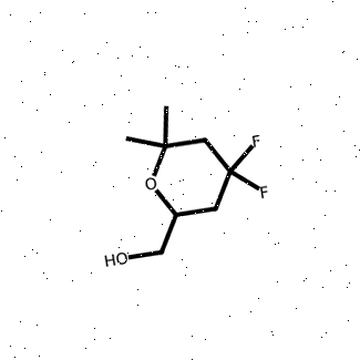 CC1(C)CC(F)(F)CC(CO)O1